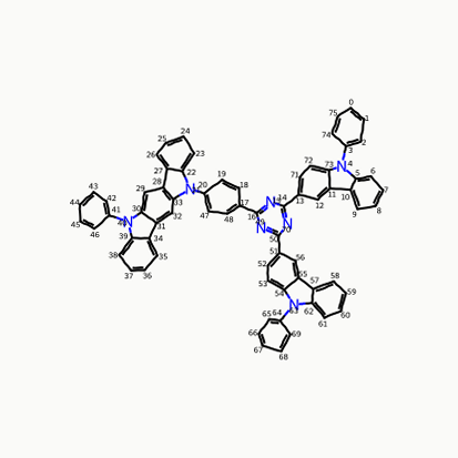 c1ccc(-n2c3ccccc3c3cc(-c4nc(-c5ccc(-n6c7ccccc7c7cc8c(cc76)c6ccccc6n8-c6ccccc6)cc5)nc(-c5ccc6c(c5)c5ccccc5n6-c5ccccc5)n4)ccc32)cc1